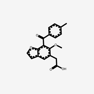 COc1c(CC(=O)O)cc2ccoc2c1C(=O)c1ccc(C)cc1